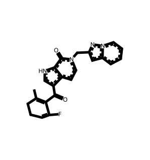 CC1=C(C(=O)c2c[nH]c3c(=O)n(Cc4cc5ccccn5n4)ccc23)C(F)=CCC1